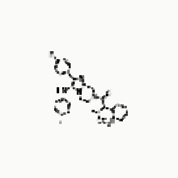 Cc1ccc(Nc2c(-c3ccc(F)cc3)nc3n2CCN(C(=O)C(c2ccccc2)C(C)C(=O)O)C3)cc1